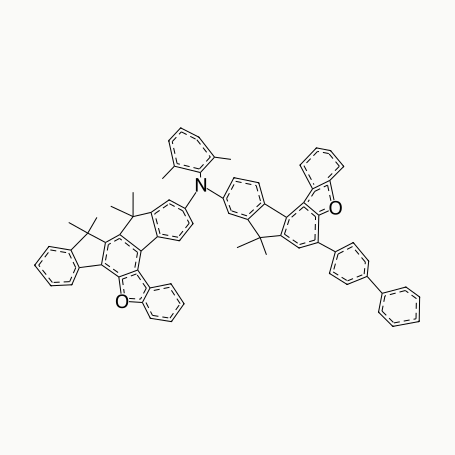 Cc1cccc(C)c1N(c1ccc2c(c1)C(C)(C)c1cc(-c3ccc(-c4ccccc4)cc3)c3oc4ccccc4c3c1-2)c1ccc2c(c1)C(C)(C)c1c3c(c4oc5ccccc5c4c1-2)-c1ccccc1C3(C)C